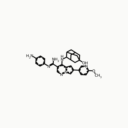 COc1ccc(-c2cc3c(NC4C5CC6CC4CC(O)(C6)C5)c(/C(N)=N/c4ccc(N)cc4)cnn3c2)cn1